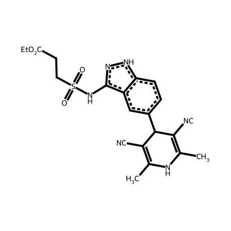 [C-]#[N+]C1=C(C)NC(C)=C(C#N)C1c1ccc2[nH]nc(NS(=O)(=O)CCC(=O)OCC)c2c1